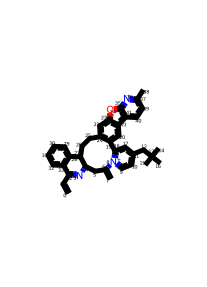 C=CC1=NC2CC(=C)[n+]3ccc(CC(C)(C)C)cc3-c3cc4c(cc3CCC2c2ccccc21)oc1nc(C)ccc14